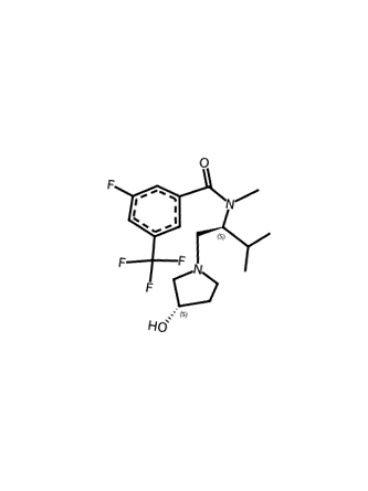 CC(C)[C@@H](CN1CC[C@H](O)C1)N(C)C(=O)c1cc(F)cc(C(F)(F)F)c1